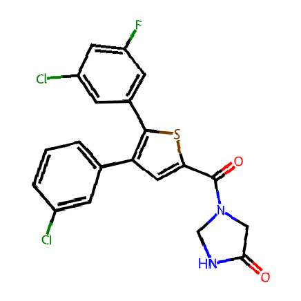 O=C1CN(C(=O)c2cc(-c3cccc(Cl)c3)c(-c3cc(F)cc(Cl)c3)s2)CN1